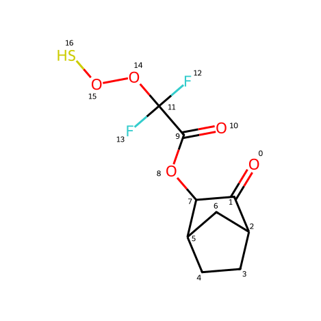 O=C1C2CCC(C2)C1OC(=O)C(F)(F)OOS